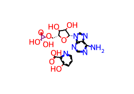 Nc1ncnc2c1ncn2[C@@H]1O[C@H](COP(=O)(O)O)[C@@H](O)[C@H]1O.O=C(O)c1ncccc1O